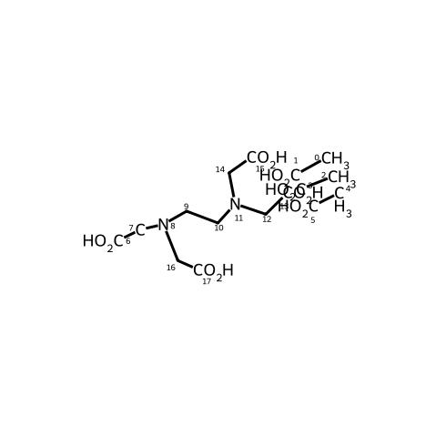 CC(=O)O.CC(=O)O.CC(=O)O.O=C(O)CN(CCN(CC(=O)O)CC(=O)O)CC(=O)O